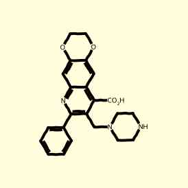 O=C(O)c1c(CN2CCNCC2)c(-c2ccccc2)nc2cc3c(cc12)OCCO3